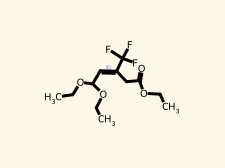 CCOC(=O)C/C(=C\C(OCC)OCC)C(F)(F)F